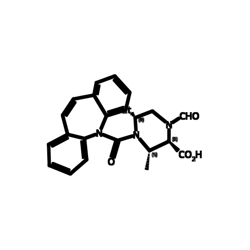 CC[C@@H]1CN(C=O)[C@@H](C(=O)O)[C@H](C)N1C(=O)N1c2ccccc2C=Cc2ccccc21